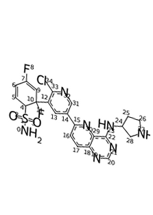 NS(=O)(=O)C1C=CC(F)=CC1(F)c1cc(-c2ccc3ncnc(NC4CCNC4)c3n2)cnc1Cl